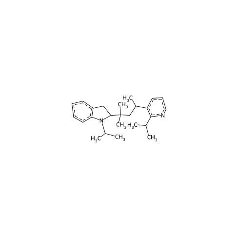 CC(C)c1ncccc1C(C)CC(C)(C)C1Cc2ccccc2N1C(C)C